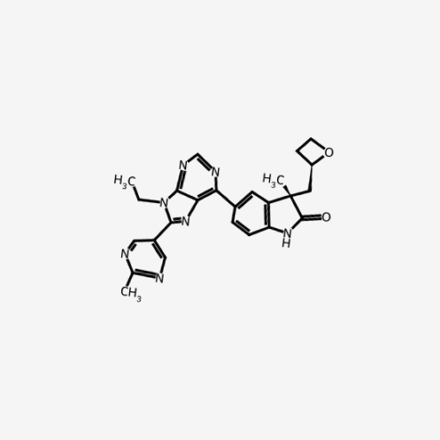 CCn1c(-c2cnc(C)nc2)nc2c(-c3ccc4c(c3)[C@](C)(C[C@H]3CCO3)C(=O)N4)ncnc21